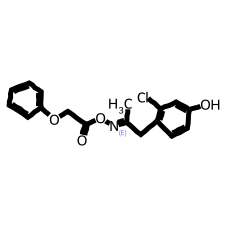 C/C(Cc1ccc(O)cc1Cl)=N\OC(=O)COc1ccccc1